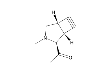 CC(=O)[C@@H]1[C@H]2C#C[C@H]2CN1C